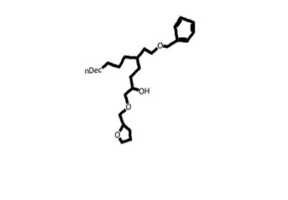 CCCCCCCCCCCCCC(CCOCc1ccccc1)CCC(O)COCC1CCCO1